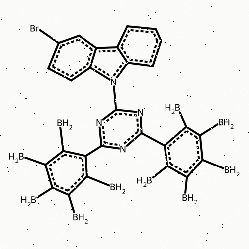 Bc1c(B)c(B)c(-c2nc(-c3c(B)c(B)c(B)c(B)c3B)nc(-n3c4ccccc4c4cc(Br)ccc43)n2)c(B)c1B